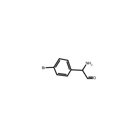 N[C](C=O)c1ccc(Br)cc1